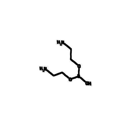 NCCOB(O)OCCN